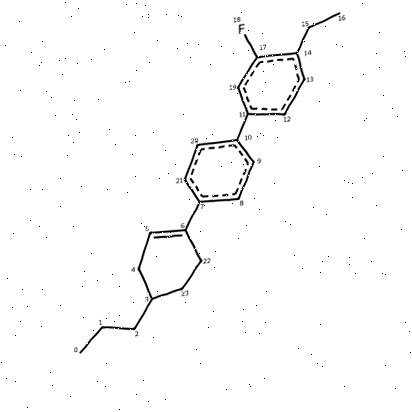 CCCC1CC=C(c2ccc(-c3ccc(CC)c(F)c3)cc2)CC1